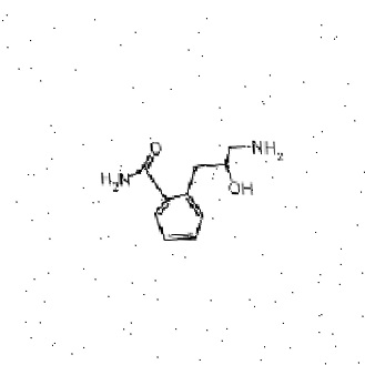 NCC(O)Cc1ccccc1C(N)=O